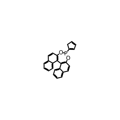 C1=CCC(p2oc3ccc4ccccc4c3c3c(ccc4ccccc43)o2)=C1